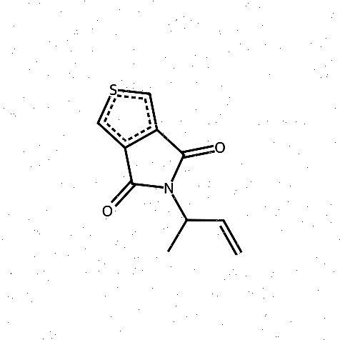 C=CC(C)N1C(=O)c2cscc2C1=O